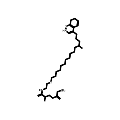 C=C(CCC(C)C(=C)NCCOCCCCCCCCCCCC(C)CCCC1=CNSC2=C1C=CCC2)CC(C)(C)C